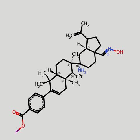 C=C(C)C1CCC2(/C=N/O)CC[C@@](N)([C@]3(C)CC[C@H]4C(C)(C)C(c5ccc(C(=O)OI)cc5)=CC[C@]4(C)[C@H]3CCC)C[C@@H]12